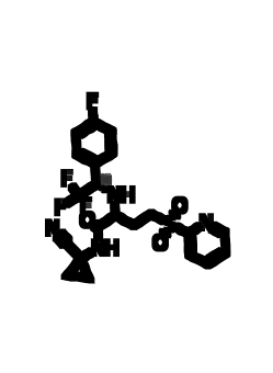 N#CC1(NC(=O)C(CCS(=O)(=O)c2ccccn2)N[C@@H](c2ccc(F)cc2)C(F)(F)F)CC1